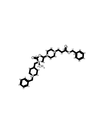 C[N+]1(CC2CCN(Cc3ccccc3)CC2)CC(N2CCN(CCC(=O)OCc3ccccc3)CC2)OC1=O